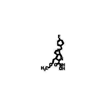 CCOC=Cc1c(C(=O)NO)ncc2c1ccn2Cc1ccc(F)cc1